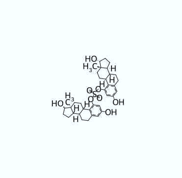 C[C@]12CC[C@@H]3c4c(cc(O)cc4OS(=O)(=O)Oc4cc(O)cc5c4[C@H]4CC[C@]6(C)[C@H](O)CC[C@H]6[C@@H]4CC5)CC[C@H]3[C@@H]1CC[C@H]2O